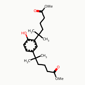 COC(=O)CCCC(C)(C)c1ccc(O)c(C(C)(C)CCCC(=O)OC)c1